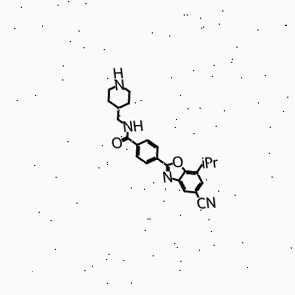 CC(C)c1cc(C#N)cc2nc(-c3ccc(C(=O)NCC4CCNCC4)cc3)oc12